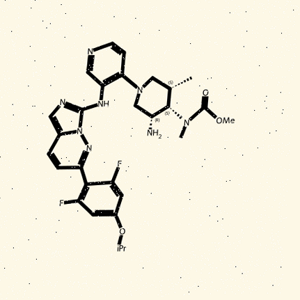 COC(=O)N(C)[C@@H]1[C@H](N)CN(c2ccncc2Nc2ncc3ccc(-c4c(F)cc(OC(C)C)cc4F)nn23)C[C@@H]1C